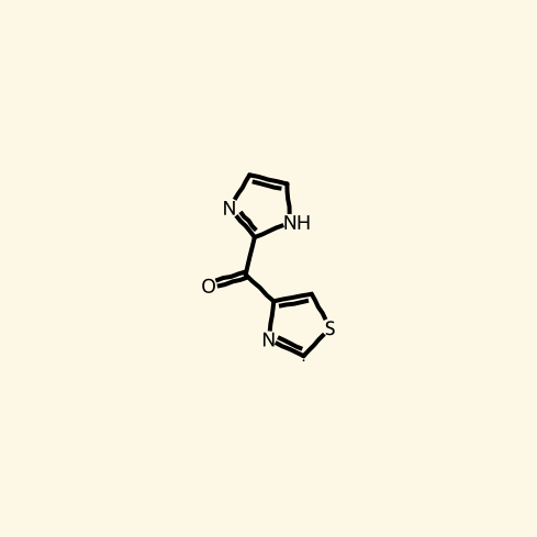 O=C(c1cs[c]n1)c1ncc[nH]1